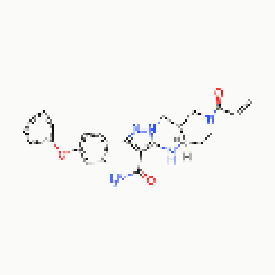 C=CC(=O)N1CC[C@H]2Nc3c(C(N)=O)c(-c4ccc(Oc5ccccc5)cc4)nn3CC2C1